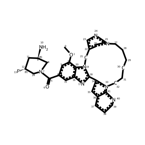 COc1cc(C(=O)N2C[C@H](N)C[C@@H](F)C2)cc2nc3n(c12)Cc1cnn(c1)CCCCCCn1c-3cc2cccnc21